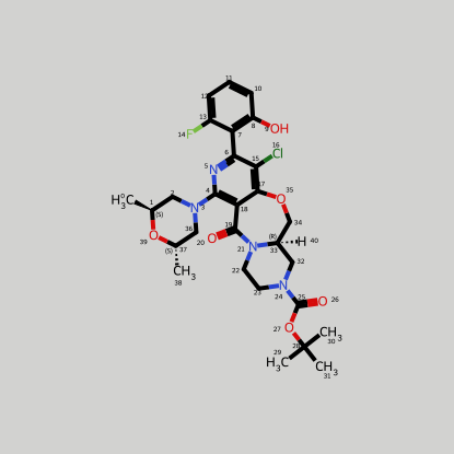 C[C@H]1CN(c2nc(-c3c(O)cccc3F)c(Cl)c3c2C(=O)N2CCN(C(=O)OC(C)(C)C)C[C@@H]2CO3)C[C@H](C)O1